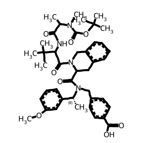 COc1cccc([C@@H](C)N(Cc2ccc(C(=O)O)cc2)C(=O)C2Cc3ccccc3CN2C(=O)C(NC(=O)C(C)N(C)C(=O)OC(C)(C)C)C(C)(C)C)c1